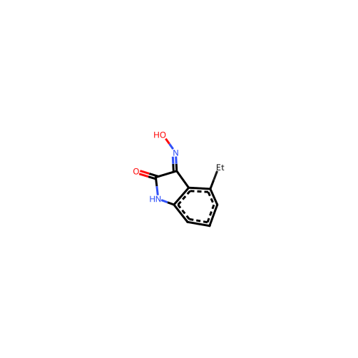 CCc1cccc2c1C(=NO)C(=O)N2